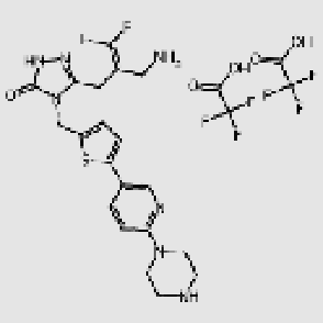 NCC(Cc1n[nH]c(=O)n1Cc1ccc(-c2ccc(N3CCNCC3)nc2)s1)=C(F)F.O=C(O)C(F)(F)F.O=C(O)C(F)(F)F